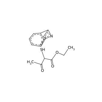 CCOC(=O)C(S)C(C)=O.c1cc2c3nc-2ccc3c1